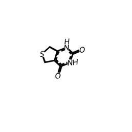 O=c1[nH]c2c(c(=O)[nH]1)CSC2